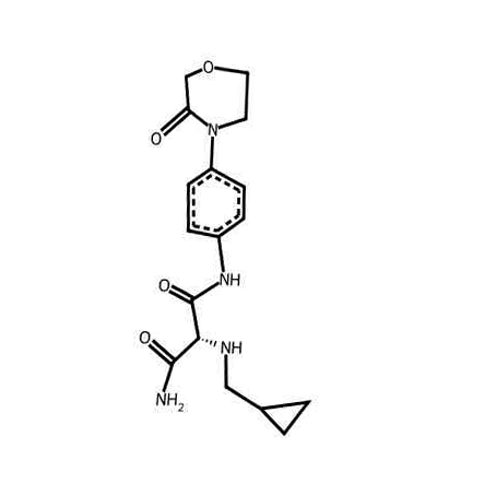 NC(=O)[C@@H](NCC1CC1)C(=O)Nc1ccc(N2CCOCC2=O)cc1